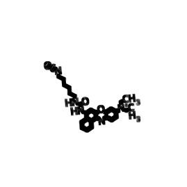 CC[N+](CC)=c1ccc2nc3c(cc(NC(=O)NCCCCCCN=C=O)c4ccccc43)oc-2c1